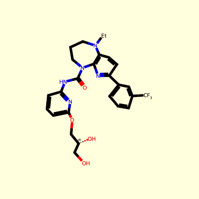 CCN1CCCN(C(=O)Nc2cccc(OC[C@H](O)CO)n2)c2nc(-c3cccc(C(F)(F)F)c3)ccc21